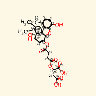 Cc1ccc(O)c2c1C13CCC(C)[C@H](C)[C@]1(O)CC=C(OC(=O)CCC(=O)O[C@@H](CC(=O)O)C(=O)O)C3O2